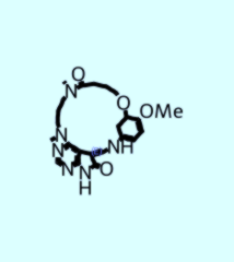 COC1=CC=C2CC1OCCCC(=O)N(C)CCCN(C)c1ncnc3c1/C(=C\N2)C(=O)N3